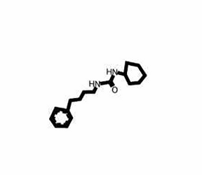 O=C(NCCCCc1ccccc1)NC1CCCCC1